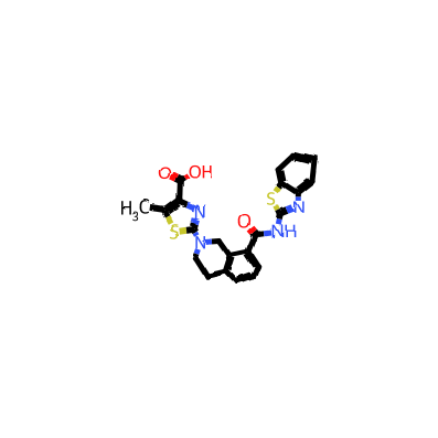 Cc1sc(N2CCc3cccc(C(=O)Nc4nc5ccccc5s4)c3C2)nc1C(=O)O